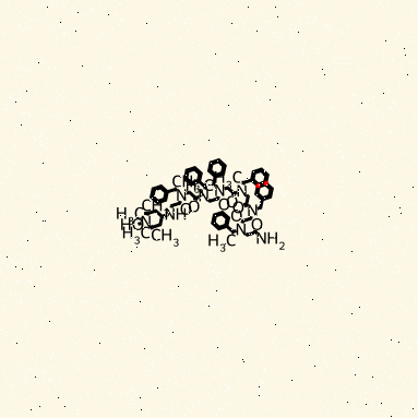 C[C@H](c1ccccc1)N(CC(N)=O)C(=O)CN(Cc1ccccc1)C(=O)CN(C(=O)CN(C(=O)CN(Cc1ccccc1)C(=O)CN(C(=O)CNC1CC(C)(C)N(O)C(C)(C)C1)[C@H](C)c1ccccc1)[C@H](C)c1ccccc1)[C@H](C)c1ccccc1